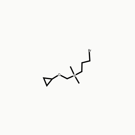 C[Si](C)(CCCBr)COC1CC1